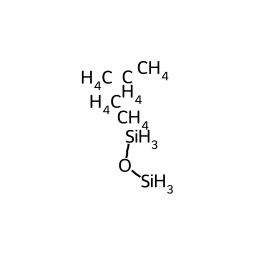 C.C.C.C.C.[SiH3]O[SiH3]